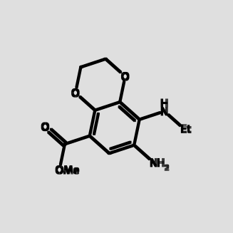 CCNc1c(N)cc(C(=O)OC)c2c1OCCO2